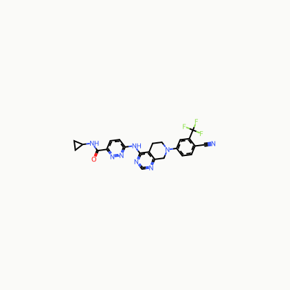 N#Cc1ccc(N2CCc3c(ncnc3Nc3ccc(C(=O)NC4CC4)nn3)C2)cc1C(F)(F)F